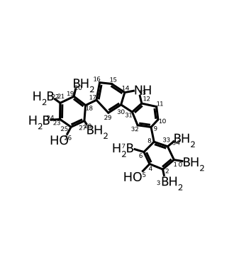 Bc1c(B)c(O)c(B)c(-c2ccc3[nH]c4ccc(-c5c(B)c(B)c(B)c(O)c5B)cc4c3c2)c1B